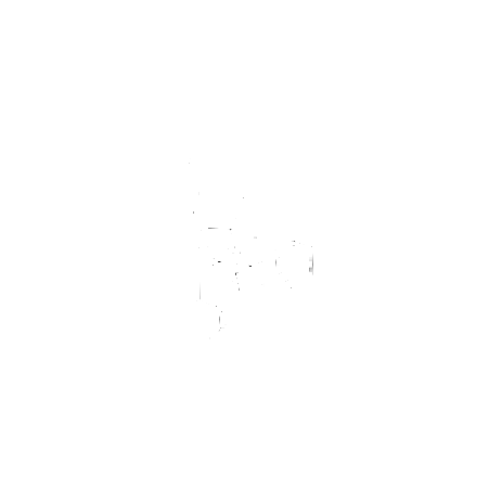 CSCCC1NC2(CCN(C(=O)[O-])CC2)[N+](Cc2ccccc2)(C(C)(C)C)C1=O